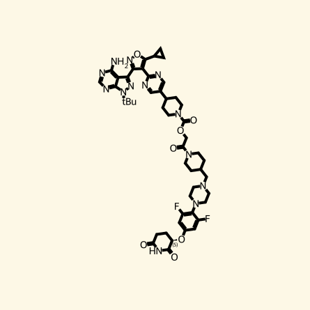 CC(C)(C)n1nc(-c2noc(C3CC3)c2-c2ncc(C3CCN(C(=O)OCC(=O)N4CCC(CN5CCN(c6c(F)cc(O[C@H]7CCC(=O)NC7=O)cc6F)CC5)CC4)CC3)cn2)c2c(N)ncnc21